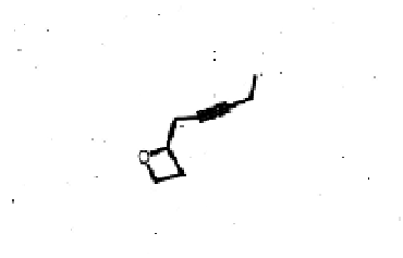 [CH2]CC#CCC1CCO1